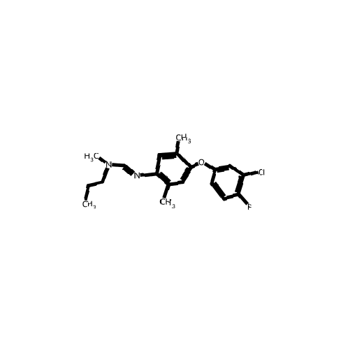 CCCN(C)/C=N/c1cc(C)c(Oc2ccc(F)c(Cl)c2)cc1C